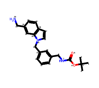 CC(C)(C)OC(=O)NCc1cccc(Cn2ccc3ccc(CN)cc32)c1